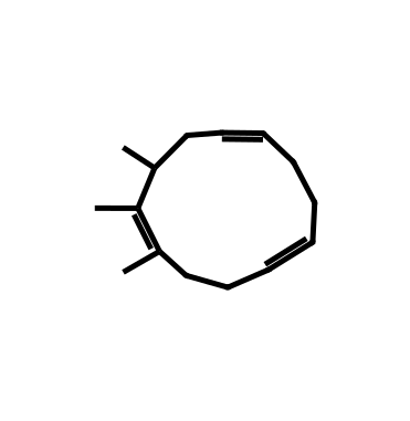 C/C1=C(\C)C(C)C/C=C\CC/C=C\CC1